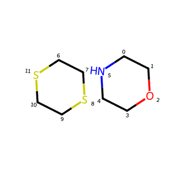 C1COCCN1.C1CSCCS1